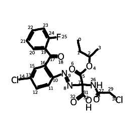 CCC(C)OC(=O)C(N=Nc1ccc(Cl)cc1C(=O)c1ccccc1F)(NC(=O)CCl)C(=O)O